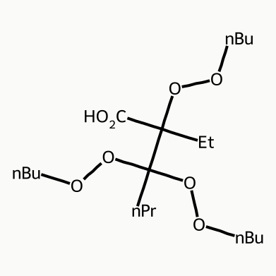 CCCCOOC(CCC)(OOCCCC)C(CC)(OOCCCC)C(=O)O